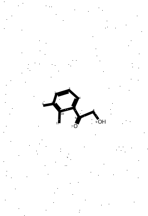 Cc1cccc(C(=O)CO)c1C